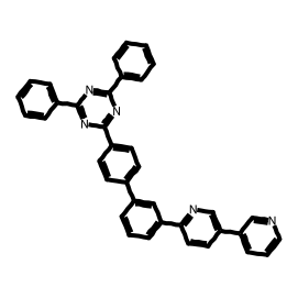 c1ccc(-c2nc(-c3ccccc3)nc(-c3ccc(-c4cccc(-c5ccc(-c6cccnc6)cn5)c4)cc3)n2)cc1